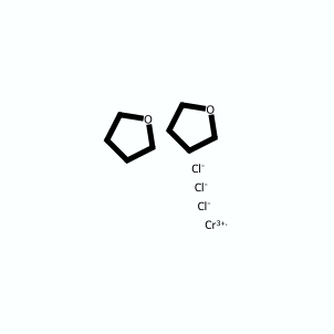 C1CCOC1.C1CCOC1.[Cl-].[Cl-].[Cl-].[Cr+3]